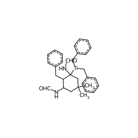 CC1(C)CC(NC=O)C(Cc2ccccc2)[C](NC=O)([Ti]([CH2]c2ccccc2)[CH2]c2ccccc2)C1